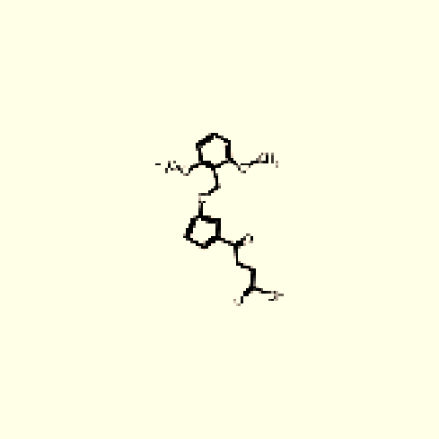 COc1cccc(OC)c1COc1cccc(C(=O)CCC(=O)O)c1